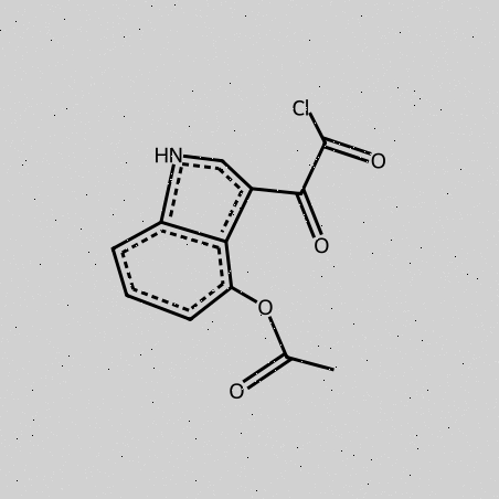 CC(=O)Oc1cccc2[nH]cc(C(=O)C(=O)Cl)c12